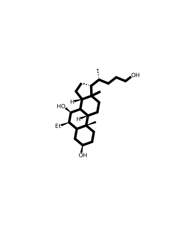 CC[C@@H]1C2C[C@H](O)CC[C@@]2(C)[C@H]2CCC3(C)[C@@H]([C@H](C)CCCO)CC[C@H]3C2[C@@H]1O